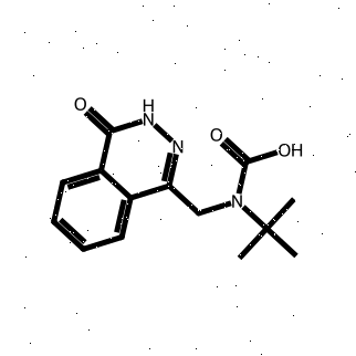 CC(C)(C)N(Cc1n[nH]c(=O)c2ccccc12)C(=O)O